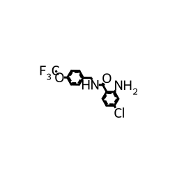 Nc1cc(Cl)ccc1C(=O)NCc1ccc(OC(F)(F)F)cc1